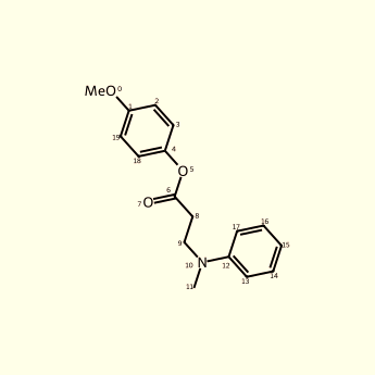 COc1ccc(OC(=O)CCN(C)c2ccccc2)cc1